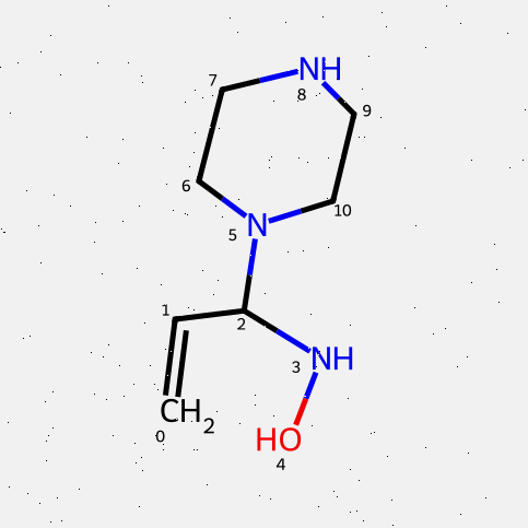 C=CC(NO)N1CCNCC1